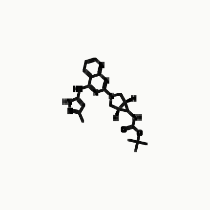 Cc1cc(Nc2nc(N3C[C@@H]4C(NC(=O)OC(C)(C)C)[C@@H]4C3)nc3ncccc23)[nH]n1